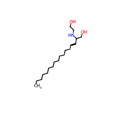 CCCCCCCCCCCCC/C=C/C(CO)NCCO